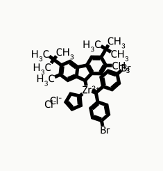 Cc1cc2c(cc1C(C)(C)C)-c1cc(C(C)(C)C)c(C)cc1[CH]2[Zr+2]([C]1=CC=CC1)=[C](c1ccc(Br)cc1)c1ccc(Br)cc1.[Cl-].[Cl-]